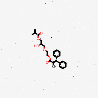 C=C(C)C(=O)OCC(O)COCCOC(=O)C(C#N)=C(c1ccccc1)c1ccccc1